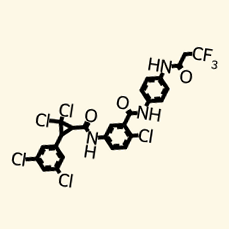 O=C(CC(F)(F)F)Nc1ccc(NC(=O)c2cc(NC(=O)C3C(c4cc(Cl)cc(Cl)c4)C3(Cl)Cl)ccc2Cl)cc1